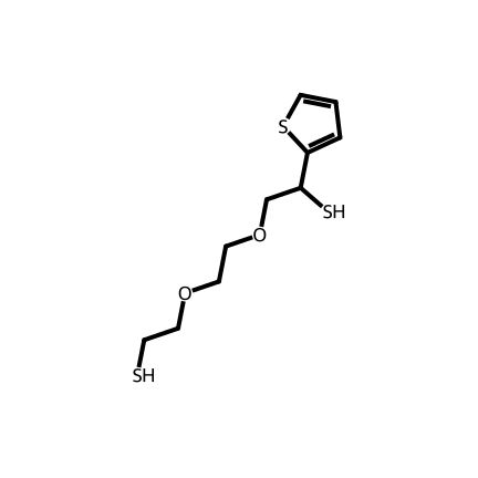 SCCOCCOCC(S)c1cccs1